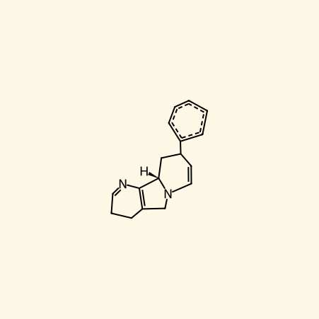 C1=CN2CC3=C(N=CCC3)[C@@H]2CC1c1ccccc1